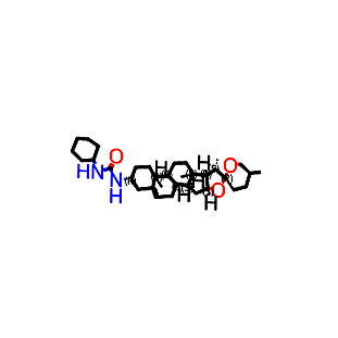 CC1CC[C@@]2(OC1)O[C@H]1C[C@H]3[C@@H]4CC=C5C[C@H](NC(=O)NC6CCCCC6)CC[C@]5(C)[C@H]4CC[C@]3(C)[C@H]1[C@@H]2C